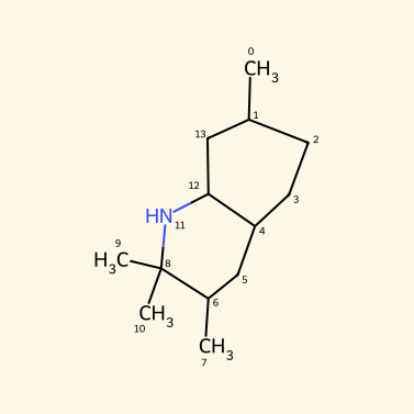 CC1CCC2CC(C)C(C)(C)NC2C1